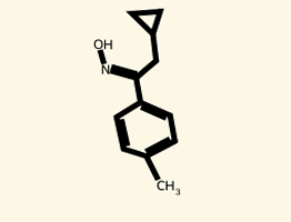 Cc1ccc(C(CC2CC2)=NO)cc1